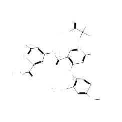 COc1cc(OC(F)(F)F)ccc1Oc1cc(C(F)(F)F)ncc1C(=O)Nc1cc(C)nc(C(N)=O)c1.O=C(O)C(F)(F)F